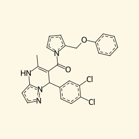 CC1=C(C(=O)n2cccc2COc2ccccc2)C(c2ccc(Cl)c(Cl)c2)n2nccc2N1